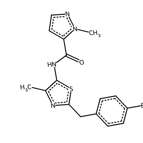 Cc1nc(Cc2ccc(Br)cc2)sc1NC(=O)c1ccnn1C